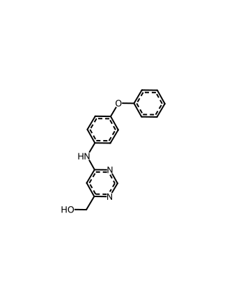 OCc1cc(Nc2ccc(Oc3ccccc3)cc2)ncn1